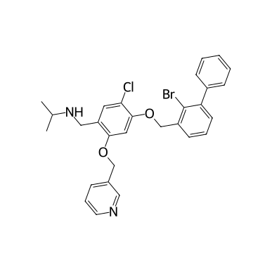 CC(C)NCc1cc(Cl)c(OCc2cccc(-c3ccccc3)c2Br)cc1OCc1cccnc1